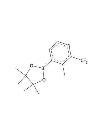 Cc1c(B2OC(C)(C)C(C)(C)O2)ccnc1C(F)(F)F